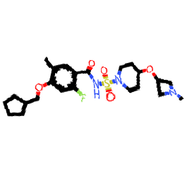 Cc1cc(C(=O)NS(=O)(=O)N2CCC(OC3CN(C)C3)CC2)c(F)cc1OCC1CCCC1